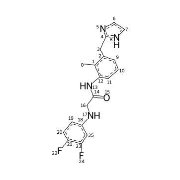 Cc1c(Cc2ncc[nH]2)cccc1NC(=O)CNc1ccc(F)c(F)c1